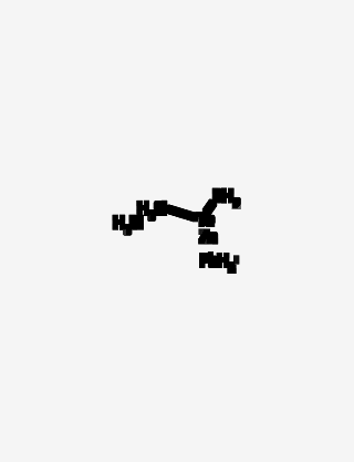 B[Te][SiH3].[BiH3].[PbH2].[Zn]